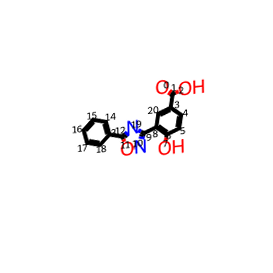 O=C(O)c1ccc(O)c(-c2noc(-c3ccccc3)n2)c1